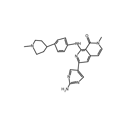 CN1CCC(c2ccc(Nc3nc(-c4cnc(N)nc4)cc4ccn(C)c(=O)c34)cc2)CC1